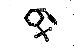 N#CO.O=S(=O)(Cl)c1ccccc1